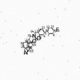 C[C@@H](c1ccc(-c2ccc(F)cc2)cc1)N1CCC(CC(C)(C)C#N)(c2ccccc2)OC1=O